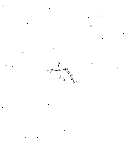 CC(C)C(C)(C)N=[N+]=[N-]